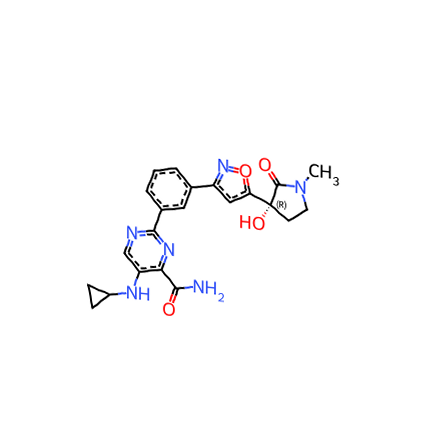 CN1CC[C@@](O)(c2cc(-c3cccc(-c4ncc(NC5CC5)c(C(N)=O)n4)c3)no2)C1=O